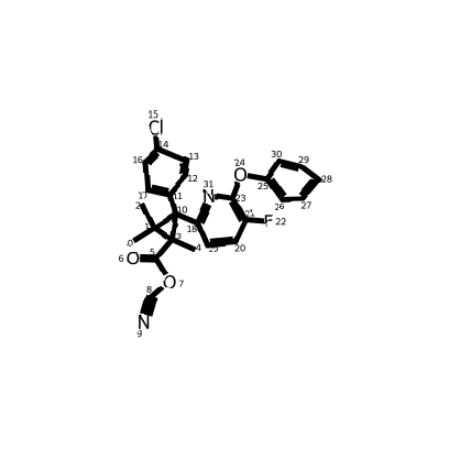 CC1(C)C(C)(C(=O)OC#N)C1(c1ccc(Cl)cc1)c1ccc(F)c(Oc2ccccc2)n1